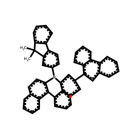 CC1(C)c2ccccc2-c2ccc(N(c3cccc(-c4cc5ccccc5c5ccccc45)c3)c3ccc4ccccc4c3-c3ccccc3)cc21